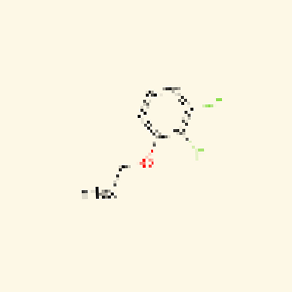 CCCCCCCOc1cc[c]c(F)c1F